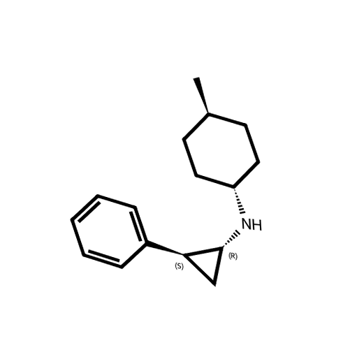 C[C@H]1CC[C@H](N[C@@H]2C[C@H]2c2ccccc2)CC1